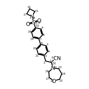 N#C[C@H](Cc1ccc(-c2ccc(S(=O)(=O)N3CCC3)cc2)cc1)N1CCCOCC1